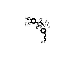 CC(=O)CCCc1ccc(N2C(=S)N(c3ccc(C#N)c(C(F)(F)F)c3)C(=O)C2(C)C)cc1